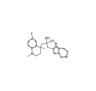 CN1CCC(C)(CC(O)(Cc2cc3cnccc3[nH]2)C(F)(F)F)c2cc(F)ccc21